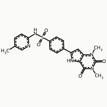 Cc1ccc(NS(=O)(=O)c2ccc(-c3cc4c([nH]3)c(=O)n(C)c(=O)n4C)cc2)nc1